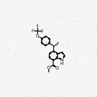 COC(=O)c1ccc(C(F)c2ccc(OC(F)(F)F)cc2)c2cc[nH]c12